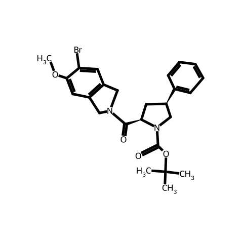 COc1cc2c(cc1Br)CN(C(=O)[C@H]1C[C@@H](c3ccccc3)CN1C(=O)OC(C)(C)C)C2